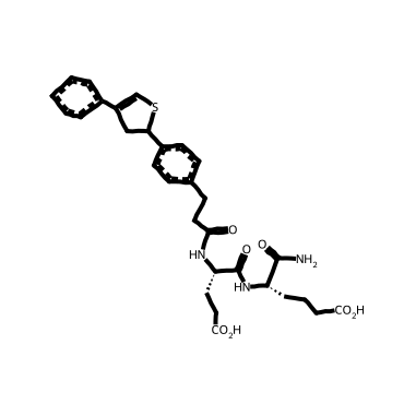 NC(=O)[C@H](CCCC(=O)O)NC(=O)[C@H](CCC(=O)O)NC(=O)CCc1ccc(C2CC(c3ccccc3)=CS2)cc1